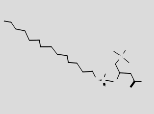 CCCCCCCCCCCCCCOP(=S)(S)OC(CC(=O)O)C[N+](C)(C)C